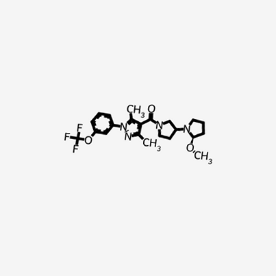 CO[C@@H]1CCCN1C1CCN(C(=O)c2c(C)nn(-c3cccc(OC(F)(F)F)c3)c2C)C1